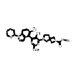 CSc1nc(-c2c(C)ccc3c2cnn3C2CCCCO2)c(C#N)c(N2CCC3(CN(C(=O)OC(C)(C)C)C3)C2)n1